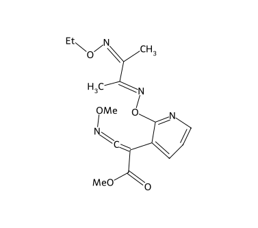 CCO/N=C(C)\C(C)=N\Oc1ncccc1C(=C=NOC)C(=O)OC